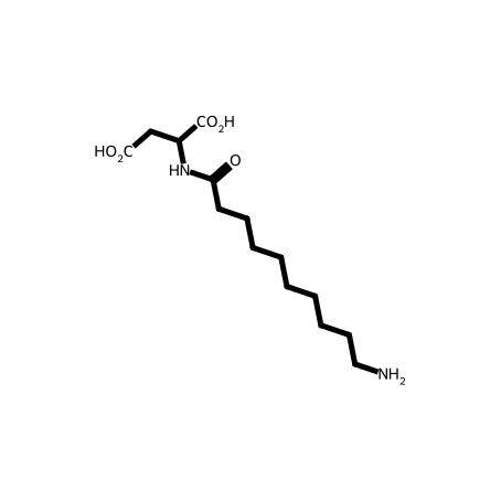 NCCCCCCCCCC(=O)NC(CC(=O)O)C(=O)O